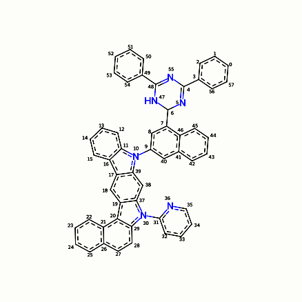 c1ccc(C2=NC(c3cc(-n4c5ccccc5c5cc6c7c8ccccc8ccc7n(-c7ccccn7)c6cc54)cc4ccccc34)NC(c3ccccc3)=N2)cc1